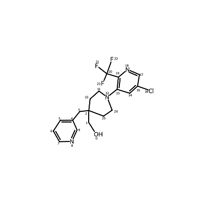 OCC1(Cc2cccnc2)CCN(c2cc(Cl)cnc2C(F)(F)F)CC1